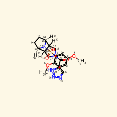 COc1ccc(OC)c(S(=O)(=O)N2[C@@H]3CC[C@H]2[C@@H]2CN(C(=O)c4cnn[nH]4)C[C@@H]23)c1